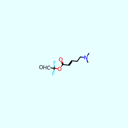 CN(C)CCC=CC(=O)OC(F)(F)C=O